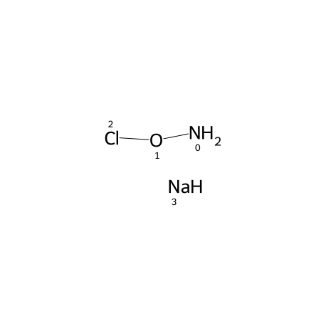 NOCl.[NaH]